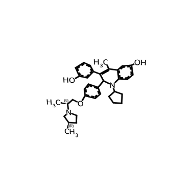 CC1=C(c2cccc(O)c2)C(c2ccc(OC[C@H](C)N3CC[C@@H](C)C3)cc2)N(C2CCCC2)c2ccc(O)cc21